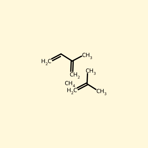 C.C=C(C)C.C=CC(=C)C